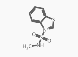 CNS(=O)(=O)[n+]1csc2ccccc21